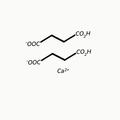 O=C([O-])CCC(=O)O.O=C([O-])CCC(=O)O.[Ca+2]